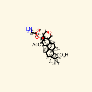 CC(=O)O[C@@H]1C[C@@]23COC[C@@](C)([C@@H]2CC[C@H]2C3=CC[C@@]3(C)[C@H](C(=O)O)[C@@](C)([C@H](C)C(C)C)CC[C@]23C)[C@H]1OC(=O)CN